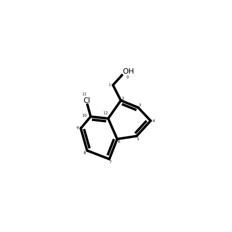 OCc1cccc2cccc(Cl)c12